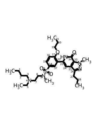 CCCCN(CC)CCN(C)S(=O)(=O)c1ccc(OCCC)c(-c2cc3c(CCC)nn(C)c3c(=O)[nH]2)c1